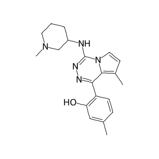 Cc1ccc(-c2nnc(NC3CCCN(C)C3)n3ccc(C)c23)c(O)c1